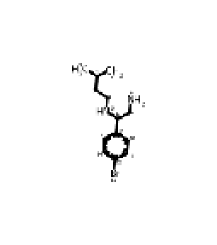 CC(C)CCNC(CN)c1ccc(Br)cc1